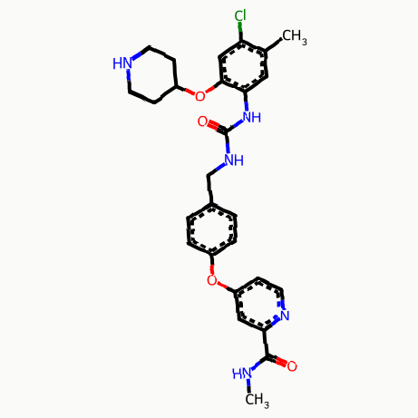 CNC(=O)c1cc(Oc2ccc(CNC(=O)Nc3cc(C)c(Cl)cc3OC3CCNCC3)cc2)ccn1